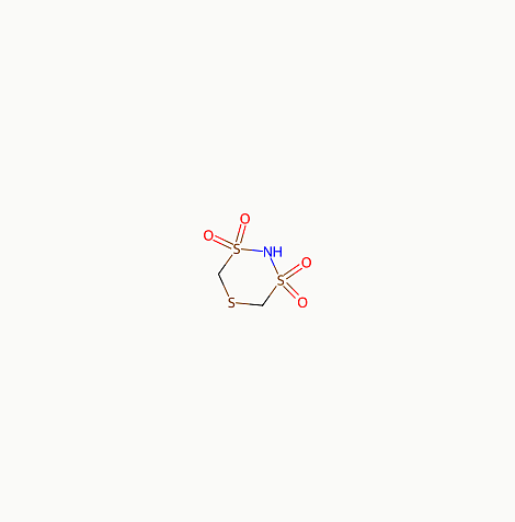 O=S1(=O)CSCS(=O)(=O)N1